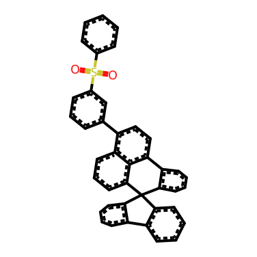 O=S(=O)(c1ccccc1)c1cccc(-c2ccc3c4c(cccc24)C2(c4ccccc4-c4ccccc42)c2ccccc2-3)c1